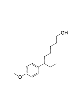 CCC(CCCCCO)c1ccc(OC)cc1